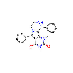 Cn1c(=O)c2c(-c3ccccc3)n3c(c2n(C)c1=O)C(c1ccccc1)NCC3